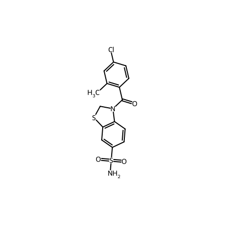 Cc1cc(Cl)ccc1C(=O)N1CSc2cc(S(N)(=O)=O)ccc21